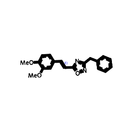 COc1ccc(/C=C/c2nc(Cc3ccccc3)no2)cc1OC